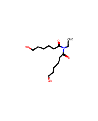 O=CCN(C(=O)CCCCCO)C(=O)CCCCCO